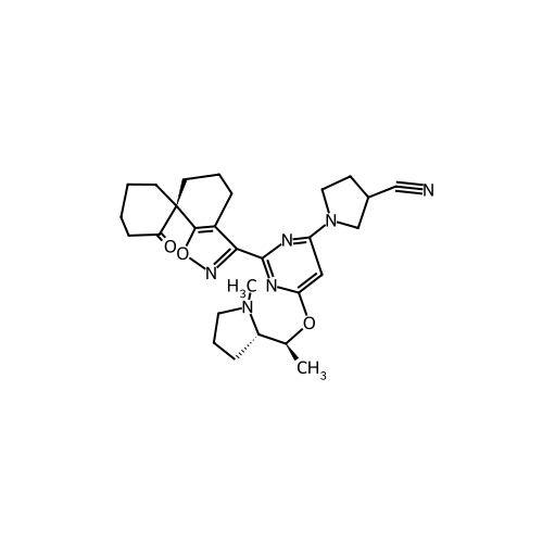 C[C@H](Oc1cc(N2CCC(C#N)C2)nc(-c2noc3c2CCC[C@@]32CCCCC2=O)n1)[C@@H]1CCCN1C